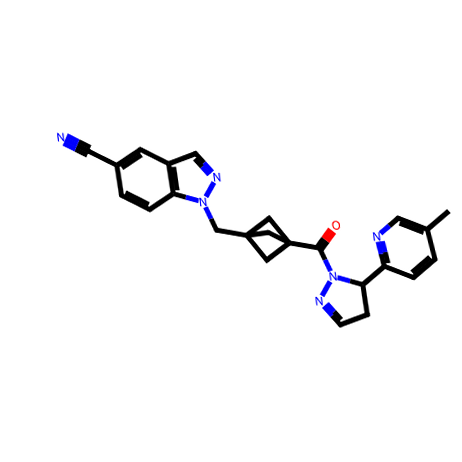 Cc1ccc(C2CC=NN2C(=O)C23CC(Cn4ncc5cc(C#N)ccc54)(C2)C3)nc1